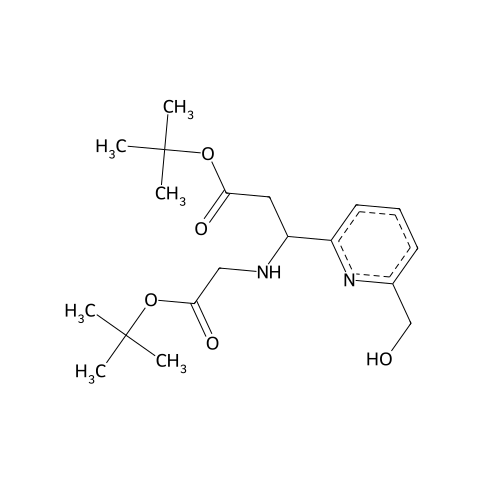 CC(C)(C)OC(=O)CNC(CC(=O)OC(C)(C)C)c1cccc(CO)n1